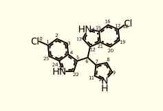 Clc1ccc2c(C(c3cc[nH]c3)c3c[nH]c4cc(Cl)ccc34)c[nH]c2c1